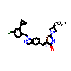 O=C1N=C(N2CC(C(=O)O)C2)S/C1=C\c1ccc2c(cnn2Cc2ccc(Cl)cc2C2CC2)c1